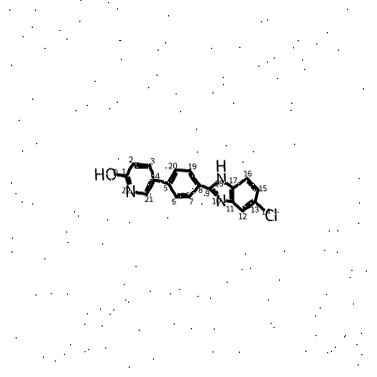 Oc1ccc(-c2ccc(-c3nc4cc(Cl)ccc4[nH]3)cc2)cn1